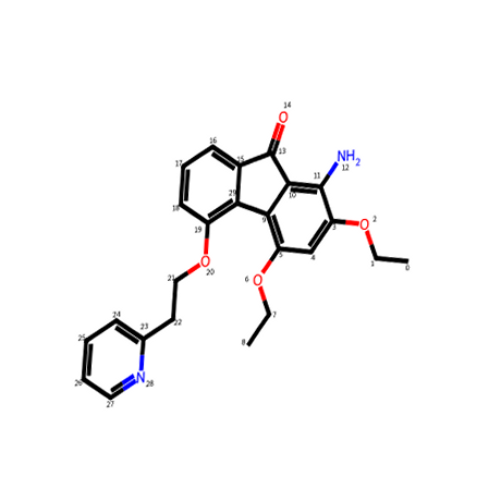 CCOc1cc(OCC)c2c(c1N)C(=O)c1cccc(OCCc3ccccn3)c1-2